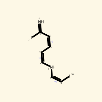 N=C(I)/C=C\C=C/N/C=C\I